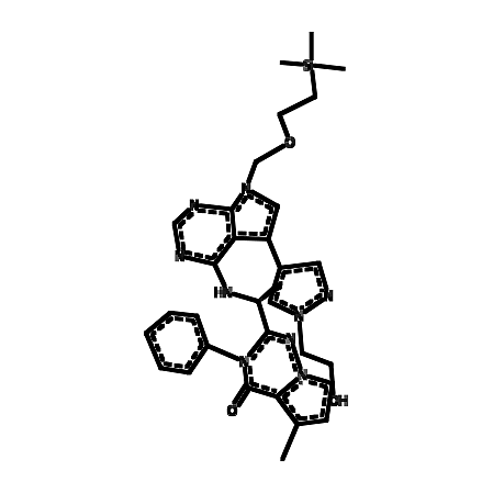 Cc1ccn2nc([C@H](C)Nc3ncnc4c3c(-c3cnn(CCO)c3)cn4COCC[Si](C)(C)C)n(-c3ccccc3)c(=O)c12